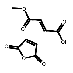 COC(=O)C=CC(=O)O.O=C1C=CC(=O)O1